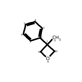 CC1(c2ccccc2)COC1